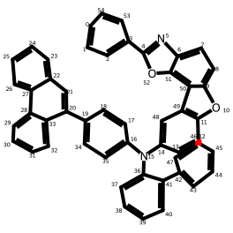 c1ccc(-c2nc3ccc4oc5ccc(N(c6ccc(-c7cc8ccccc8c8ccccc78)cc6)c6ccccc6-c6ccccc6)cc5c4c3o2)cc1